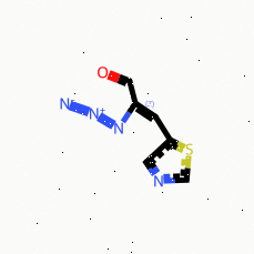 [N-]=[N+]=N/C(C=O)=C\c1cncs1